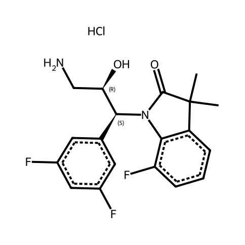 CC1(C)C(=O)N([C@@H](c2cc(F)cc(F)c2)[C@H](O)CN)c2c(F)cccc21.Cl